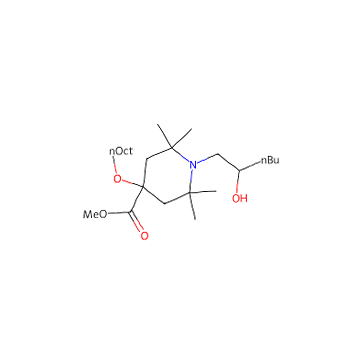 CCCCCCCCOC1(C(=O)OC)CC(C)(C)N(CC(O)CCCC)C(C)(C)C1